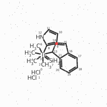 Cl.Cl.[CH3][Ti]([CH3])([CH3])([CH3])(=[SiH2])([c]1ccc[nH]1)[CH]1C=Cc2ccccc21